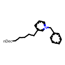 CCCCCCCCCCCCCCCc1ccc[n+](Cc2ccccc2)c1